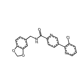 O=C(NCc1ccc2c(c1)OCO2)c1ccc(-c2ncccc2Cl)cn1